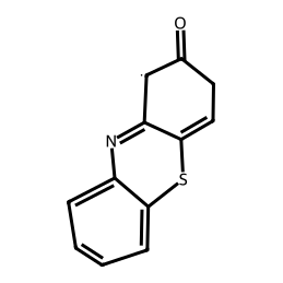 O=C1[CH]C2=Nc3ccccc3SC2=CC1